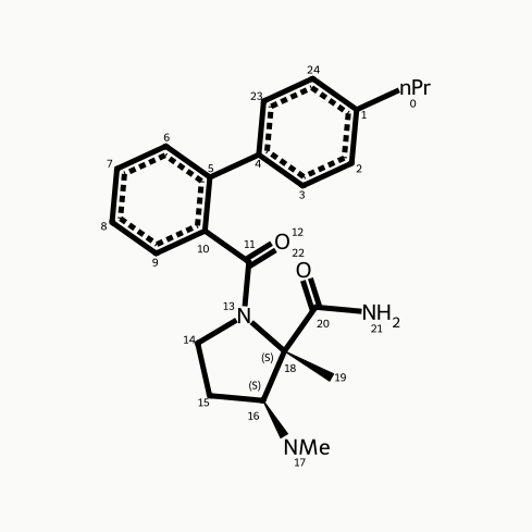 CCCc1ccc(-c2ccccc2C(=O)N2CC[C@H](NC)[C@@]2(C)C(N)=O)cc1